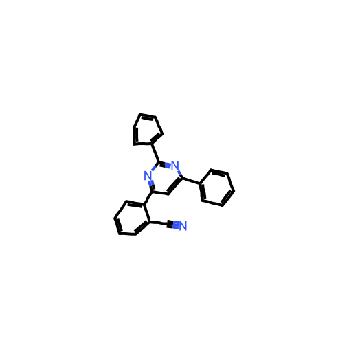 N#Cc1ccccc1-c1cc(-c2ccccc2)nc(-c2ccccc2)n1